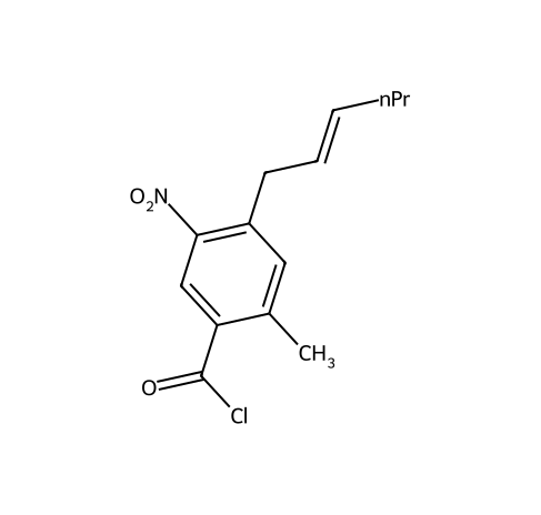 CCCC=CCc1cc(C)c(C(=O)Cl)cc1[N+](=O)[O-]